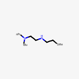 CCCN(CCNCCSC)C(C)(C)C